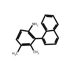 Cc1ccc(N)c(-c2cccc3ccccc23)c1C